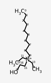 CCCCCCCCCC[N+](CC)(CC)CCO